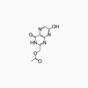 CC(=O)OCc1nc2nc(O)cnc2c(=O)[nH]1